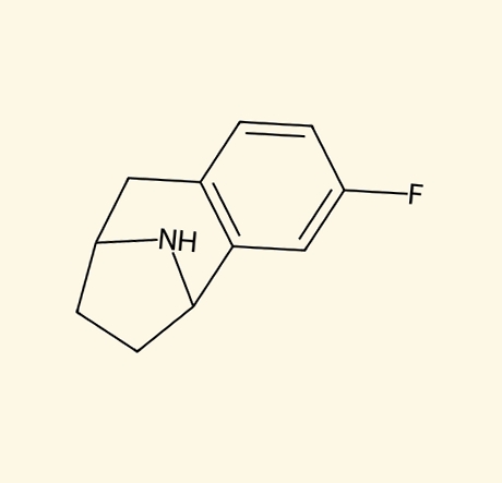 Fc1ccc2c(c1)C1CCC(C2)N1